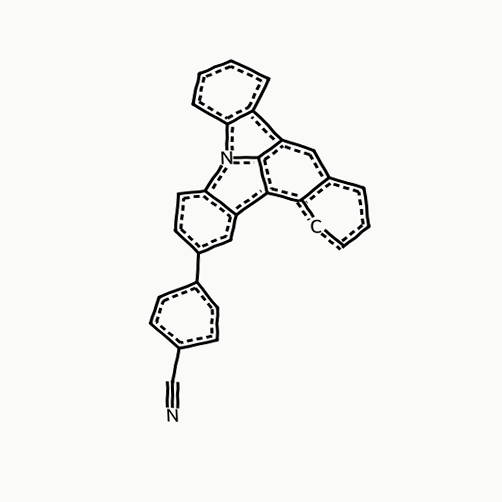 N#Cc1ccc(-c2ccc3c(c2)c2c4ccccc4cc4c5ccccc5n3c42)cc1